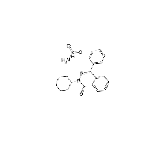 N[SH](=O)=O.O=c1c2ccccc2c(-c2ccccc2)nn1C1CCCCC1